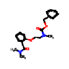 CN(C)C(=O)c1ccccc1OCCN(C)C(=O)OCc1ccccc1